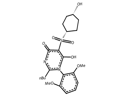 CCCCc1nc(=O)c(S(=O)(=O)[C@H]2CC[C@@H](O)CC2)c(O)n1-c1c(OC)cccc1OC